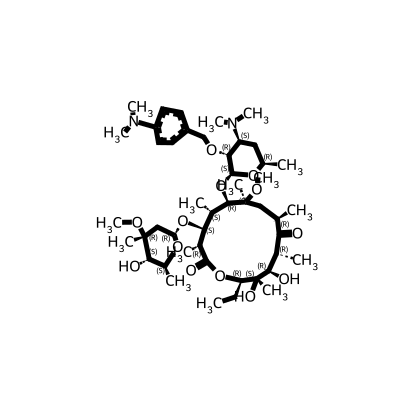 CC[C@H]1OC(=O)[C@H](C)[C@@H](O[C@H]2C[C@@](C)(OC)[C@@H](O)[C@H](C)O2)[C@H](C)[C@@H](O[C@@H]2O[C@H](C)C[C@H](N(C)C)[C@H]2OCc2ccc(N(C)C)cc2)[C@@](C)(OC)C[C@@H](C)C(=O)[C@H](C)[C@@H](O)[C@]1(C)O